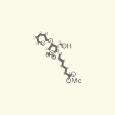 COC(=O)CCCC=CC[C@H]1[C@@H](CO)C(OC2CCCCO2)CS1(=O)=O